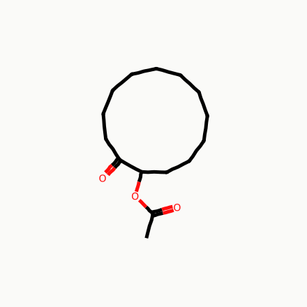 CC(=O)OC1CCCCCCCCCCCC1=O